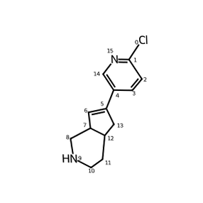 Clc1ccc(C2=CC3CNCCC3C2)cn1